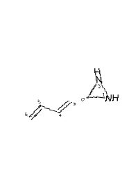 C1NN1.C=CC=C